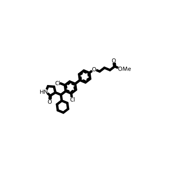 COC(=O)CCCOc1ccc(-c2cc(Cl)c(C(C3CCCCC3)C3CCNC3=O)c(Cl)c2)cc1